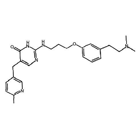 Cc1ccc(Cc2cnc(NCCCOc3cccc(CCN(C)C)c3)[nH]c2=O)cn1